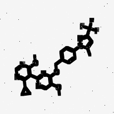 COc1cnc(-c2c(OC)ncnc2C2CC2)nc1OCc1ccc(-n2nc(C(F)(F)F)cc2C)cc1